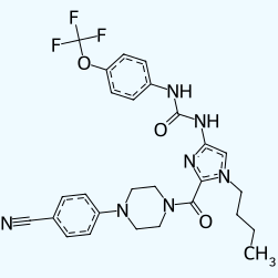 CCCCn1cc(NC(=O)Nc2ccc(OC(F)(F)F)cc2)nc1C(=O)N1CCN(c2ccc(C#N)cc2)CC1